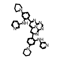 C1=NC2=NC(c3ccc(N4CCCCC4)cc3Nc3cccnc3)=CC3=CC(c4ccc(N5CCCCC5)cc4Nc4cccnc4)=NC(=N1)N32